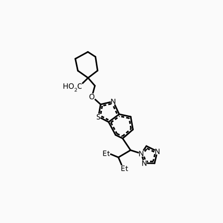 CCC(CC)C(c1ccc2nc(OCC3(C(=O)O)CCCCC3)sc2c1)n1cncn1